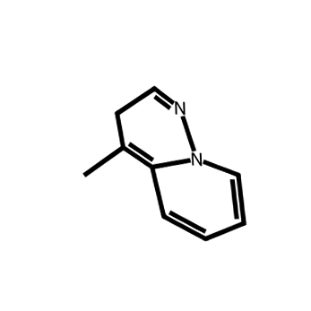 CC1=C2C=CC=CN2N=CC1